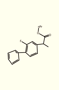 [CH2]CCOC(=O)C(C)c1ccc(-c2ccccc2)c(F)c1